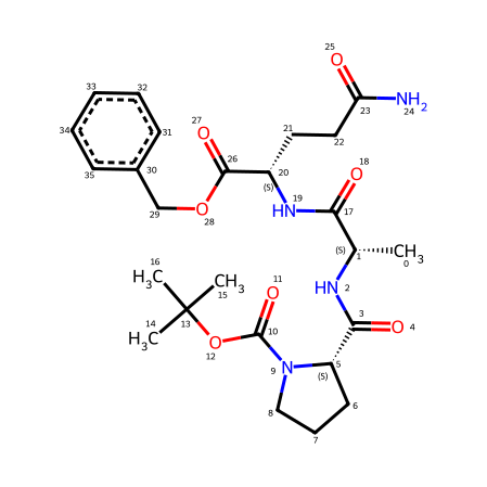 C[C@H](NC(=O)[C@@H]1CCCN1C(=O)OC(C)(C)C)C(=O)N[C@@H](CCC(N)=O)C(=O)OCc1ccccc1